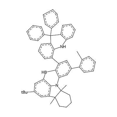 Cc1ccccc1-c1cc(-c2cccc3c2Nc2ccccc2C3(c2ccccc2)c2ccccc2)c2c(c1)N1c3c(cc(C(C)(C)C)cc3C3(C)CCCCC13C)B2